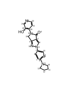 O=C1c2cn(-c3ccc(N4CCCC4)nc3)nc2CN1c1ccncc1O